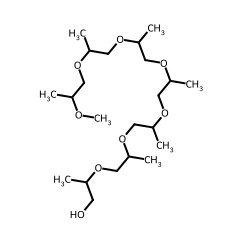 COC(C)COC(C)COC(C)COC(C)COC(C)COC(C)COC(C)CO